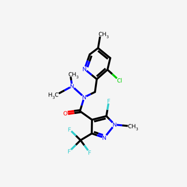 Cc1cnc(CN(C(=O)c2c(C(F)(F)F)nn(C)c2F)N(C)C)c(Cl)c1